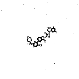 Cc1cc(F)cc(C(CO)NC(=O)CN2Cc3ccc(-c4nc(NC5CCOCC5)ncc4Cl)cc3C2=O)c1